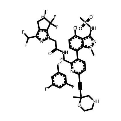 C[C@@H]1Cc2c(C(F)F)nn(CC(=O)N[C@@H](Cc3cc(F)cc(F)c3)c3nc(C#CC4(C)CNCCO4)ccc3-c3ccc(Cl)c4c(NS(C)(=O)=O)nn(C)c34)c2C1(F)F